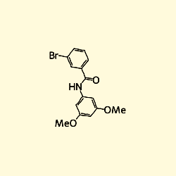 COc1cc(NC(=O)c2cccc(Br)c2)cc(OC)c1